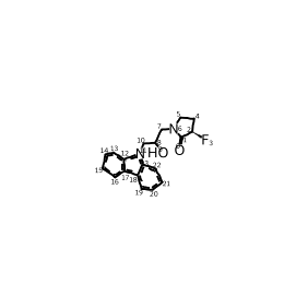 O=C1[C@H](F)CCN1CC(O)Cn1c2ccccc2c2ccccc21